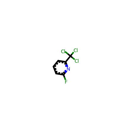 Fc1cccc(C(Cl)(Cl)Cl)n1